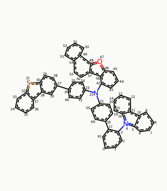 c1ccc(-n2c3ccccc3c3ccccc32)c(-c2ccc(N(c3ccc(-c4ccc5sc6ccccc6c5c4)cc3)c3cccc4oc5c6ccccc6ccc5c34)cc2)c1